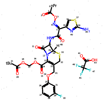 CCCC(=O)ON=C(C(=O)NC1C(=O)N2C(C(=O)OCOC(=O)C(C)(C)C)=C(COc3cccc(F)c3)CS[C@@H]12)c1csc(N)n1.O=C(O)C(F)(F)F